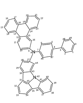 c1ccc(-c2ccc(N(c3ccc4c5ccccc5c5ccccc5c4c3)c3ccc4c5cccc6c7ccccc7n(c4c3)c65)cc2)cc1